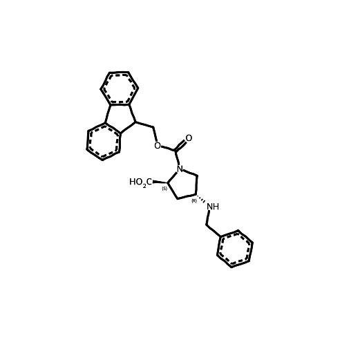 O=C(O)[C@@H]1C[C@@H](NCc2ccccc2)CN1C(=O)OCC1c2ccccc2-c2ccccc21